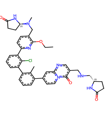 CCOc1nc(-c2cccc(-c3cccc(-c4ccn5c(=O)c(CNC[C@@H]6CCC(=O)N6)cnc5c4)c3C)c2Cl)ccc1CN(C)[C@H]1CCC(=O)N1